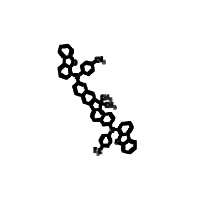 Cc1ccc(N(c2ccc3cc4c(cc3c2)C(C)(C)c2c-4ccc3cc(N(c4ccc(C(F)(F)F)cc4)c4cccc5c4oc4ccccc45)ccc23)c2cccc3c2oc2ccccc23)cc1